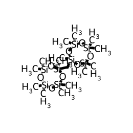 C[Si]1(C)O[Si](C)(C)O[Si](C)(C[Si]2(C)O[Si](C)(C)O[Si](C)(C)O[Si](C)(C)O2)O[Si](C)(C)O1